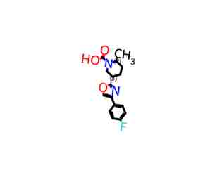 C[C@@H]1CC[C@H](c2nc(-c3ccc(F)cc3)co2)CN1C(=O)O